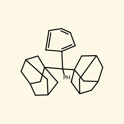 PC(c1ccccc1)(C12CC3CC(CC(C3)C1)C2)C12CC3CC(CC(C3)C1)C2